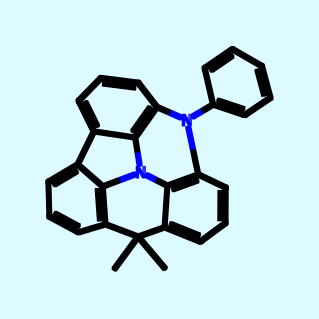 CC1(C)c2cccc3c2-n2c4c(cccc4c4cccc1c42)N3c1ccccc1